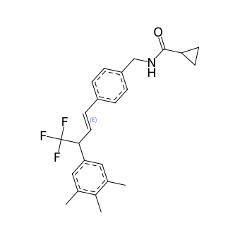 Cc1cc(C(/C=C/c2ccc(CNC(=O)C3CC3)cc2)C(F)(F)F)cc(C)c1C